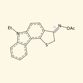 CCn1c2ccccc2c2c3c(ccc21)/C(=N/OC(C)=O)CS3